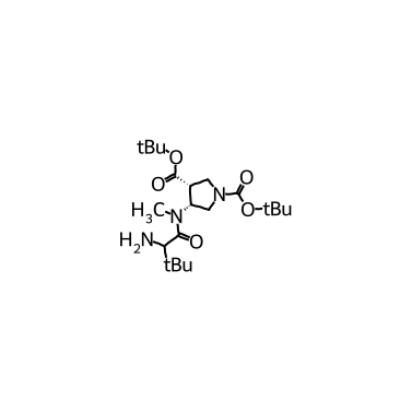 CN(C(=O)C(N)C(C)(C)C)[C@H]1CN(C(=O)OC(C)(C)C)C[C@H]1C(=O)OC(C)(C)C